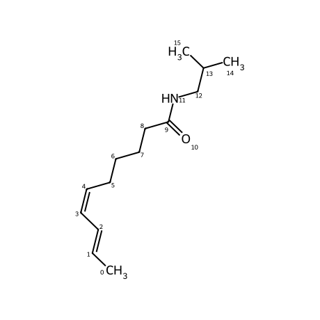 C/C=C/C=C\CCCCC(=O)NCC(C)C